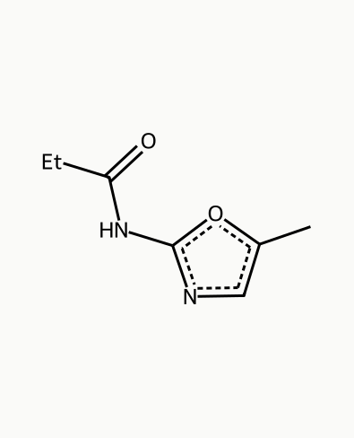 CCC(=O)Nc1ncc(C)o1